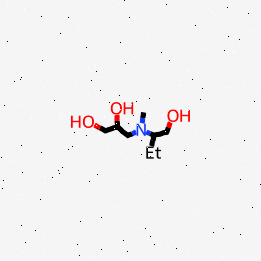 CCC(CO)N(C)CC(O)CO